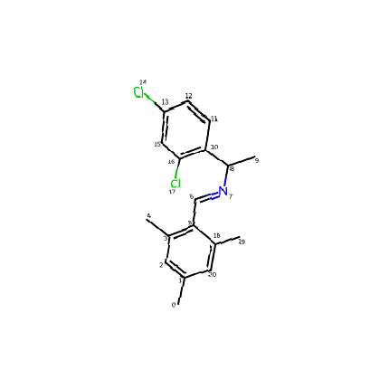 Cc1cc(C)c(C=NC(C)c2ccc(Cl)cc2Cl)c(C)c1